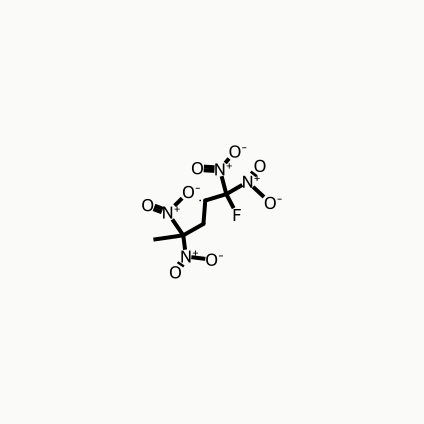 CC(C[CH]C(F)([N+](=O)[O-])[N+](=O)[O-])([N+](=O)[O-])[N+](=O)[O-]